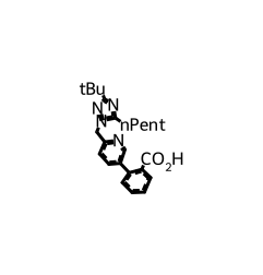 CCCCCc1nc(C(C)(C)C)nn1Cc1ccc(-c2ccccc2C(=O)O)cn1